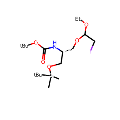 CCOC(CI)OC[C@H](CO[Si](C)(C)C(C)(C)C)NC(=O)OC(C)(C)C